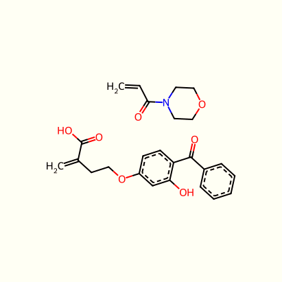 C=C(CCOc1ccc(C(=O)c2ccccc2)c(O)c1)C(=O)O.C=CC(=O)N1CCOCC1